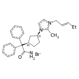 CCC=CC[n+]1ccn([C@H]2CC[C@@H](C(C(N)=O)(c3ccccc3)c3ccccc3)C2)c1C.[Br-]